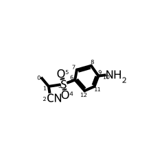 CC(C#N)S(=O)(=O)c1ccc(N)cc1